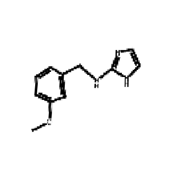 COc1cccc(CNc2ncc[nH]2)c1